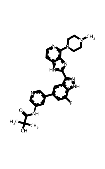 CN1CCN(c2nccc3[nH]c(-c4n[nH]c5c(F)cc(-c6cncc(NC(=O)C(C)(C)C)c6)cc45)nc23)CC1